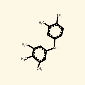 Cc1ccc(Nc2cc(C)c(C)c(C)c2)cc1C